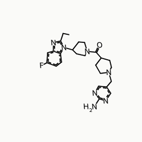 CCc1nc2cc(F)ccc2n1C1CCN(C(=O)C2CCN(Cc3cnc(N)nc3)CC2)CC1